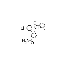 Cc1cccc(C(=O)Nc2ccc(Cl)cc2-c2cc(C(N)=O)ccn2)c1